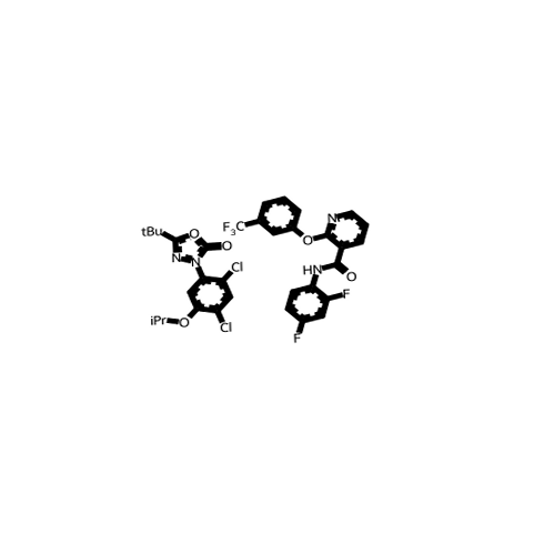 CC(C)Oc1cc(-n2nc(C(C)(C)C)oc2=O)c(Cl)cc1Cl.O=C(Nc1ccc(F)cc1F)c1cccnc1Oc1cccc(C(F)(F)F)c1